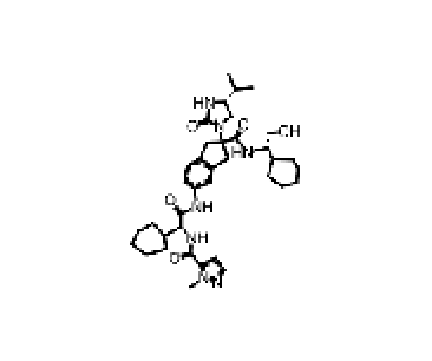 CC(C)[C@@H]1CN(C2(C(=O)N[C@H](CO)C3CCCCC3)Cc3ccc(NC(=O)[C@@H](NC(=O)c4ccnn4C)C4CCCCC4)cc3C2)C(=O)N1